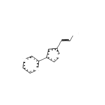 O=CC=Cc1cc(-c2cnccn2)cs1